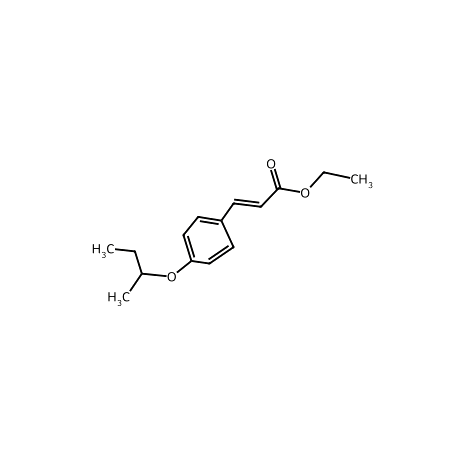 CCOC(=O)C=Cc1ccc(OC(C)CC)cc1